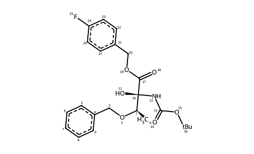 C[C@@H](OCc1ccccc1)[C@@](O)(NC(=O)OC(C)(C)C)C(=O)OCc1ccc(F)cc1